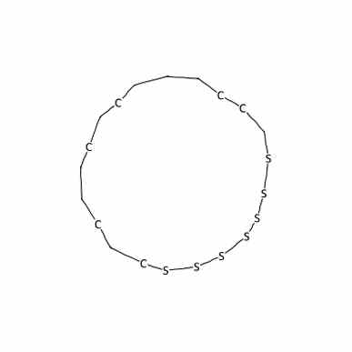 C1CCCCCCCSSSSSSSCCCCCC1